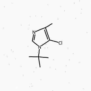 Cc1ncn(C(C)(C)C)c1Cl